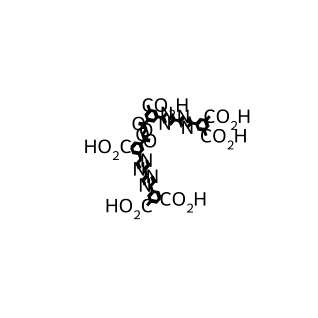 O=C(O)c1cc(C(=O)O)cc(-c2cnc(-c3cnc(-c4cc(C(=O)O)cc(C(=O)OOC(=O)c5cc(C(=O)O)cc(-c6cnc(-c7cnc(-c8cc(C(=O)O)cc(C(=O)O)c8)cn7)cn6)c5)c4)nc3)cn2)c1